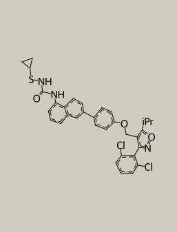 CC(C)c1onc(-c2c(Cl)cccc2Cl)c1COc1ccc(-c2ccc3c(NC(=O)NSC4CC4)cccc3c2)cc1